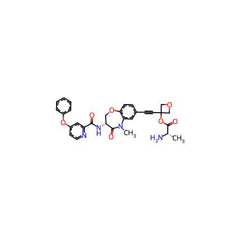 C[C@H](N)C(=O)OC1(C#Cc2ccc3c(c2)N(C)C(=O)[C@H](NC(=O)c2cc(Oc4ccccc4)ccn2)CO3)COC1